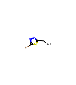 CNCc1nnc(Br)s1